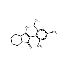 CCc1cc(C)cc(C)c1C1=C(O)C2CCCCC2C1=O